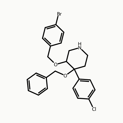 Clc1ccc(C2(OCc3ccccc3)CCNCC2OCc2ccc(Br)cc2)cc1